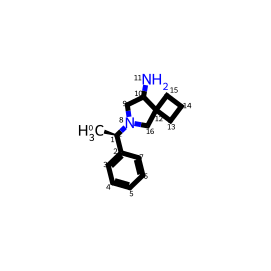 C[C@H](c1ccccc1)N1CC(N)C2(CCC2)C1